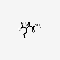 C=CCC(C(=C)C(N)=O)C(N)=O